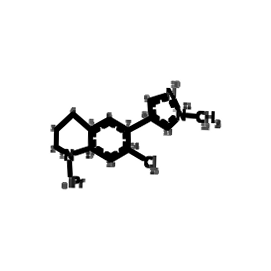 CC(C)N1CCCc2cc(-c3cnn(C)c3)c(Cl)cc21